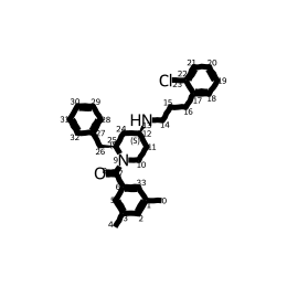 Cc1cc(C)cc(C(=O)N2CC[C@H](NCCCc3ccccc3Cl)C[C@@H]2Cc2ccccc2)c1